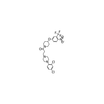 O=C(CCN1CCN(c2ccc(Cl)cc2Cl)CC1)N1CCC(Oc2ccc([N+](=O)[O-])c(C(F)(F)F)c2)CC1